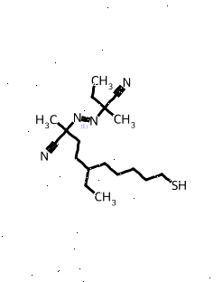 CCC(CCCCCS)CCC(C)(C#N)/N=N/C(C)(C#N)CC